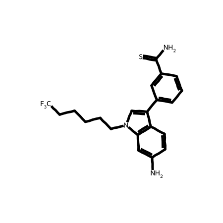 NC(=S)c1cccc(-c2cn(CCCCCC(F)(F)F)c3cc(N)ccc23)c1